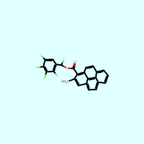 O=C(O)c1cc2ccc3cccc4ccc(c1C(=O)OC(F)c1cc(F)c(F)c(F)c1F)c2c34